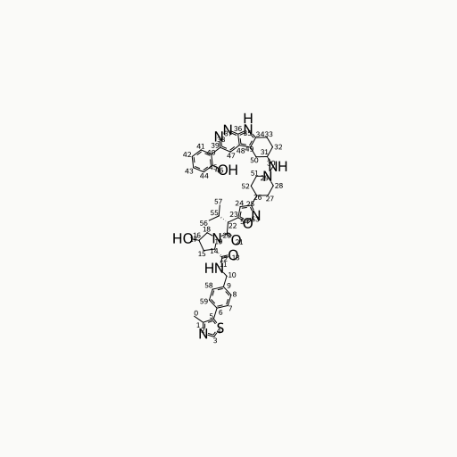 Cc1ncsc1-c1ccc(CNC(=O)[C@@H]2C[C@@H](O)CN2C(=O)[C@@H](c2cc(C3CCN(N[C@@H]4CCc5[nH]c6nnc(-c7ccccc7O)cc6c5C4)CC3)no2)C(C)C)cc1